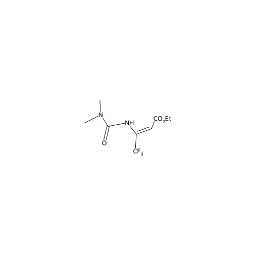 CCOC(=O)C=C(NC(=O)N(C)C)C(F)(F)F